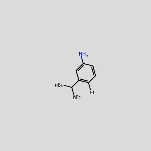 CCCCC(CCC)c1cc(N)ccc1CC